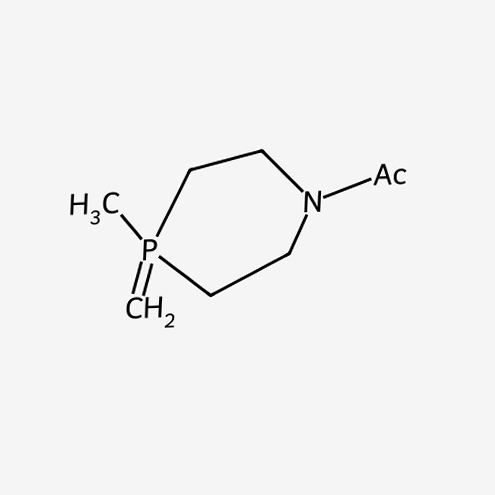 C=P1(C)CCN(C(C)=O)CC1